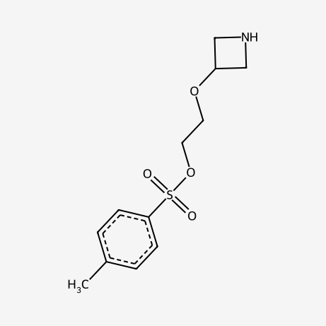 Cc1ccc(S(=O)(=O)OCCOC2CNC2)cc1